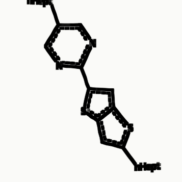 CCCCCCCc1cnc(-c2cc3sc(CCCCCCC)cc3s2)nc1